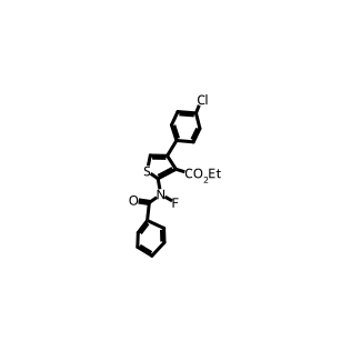 CCOC(=O)c1c(-c2ccc(Cl)cc2)csc1N(F)C(=O)c1ccccc1